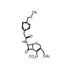 CC(=O)OCC1=C(C(=O)O)N2C(=O)C(NC(=O)Cc3ccc(CSC#N)cc3)C2SC1